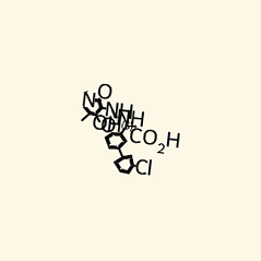 Cc1cn(C)c(=O)c(NC(=O)N[C@@H](CC(=O)O)c2cccc(-c3cccc(Cl)c3)c2)c1O